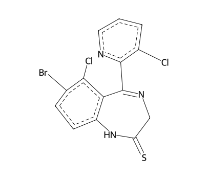 S=C1CN=C(c2ncccc2Cl)c2c(ccc(Br)c2Cl)N1